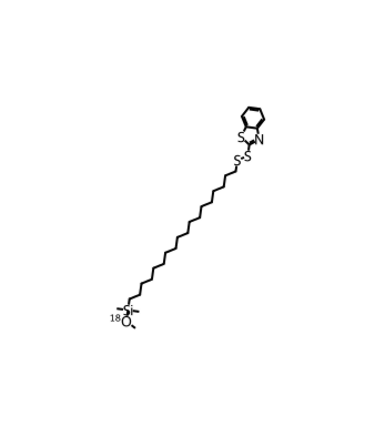 C[18O][Si](C)(C)CCCCCCCCCCCCCCCCCCSSc1nc2ccccc2s1